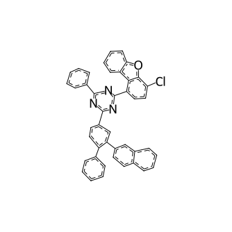 Clc1ccc(-c2nc(-c3ccccc3)nc(-c3ccc(-c4ccccc4)c(-c4ccc5ccccc5c4)c3)n2)c2c1oc1ccccc12